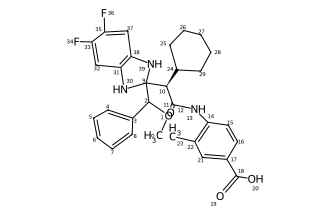 COC(c1ccccc1)C1([C@H](C(=O)Nc2ccc(C(=O)O)cc2C)C2CCCCC2)Nc2cc(F)c(F)cc2N1